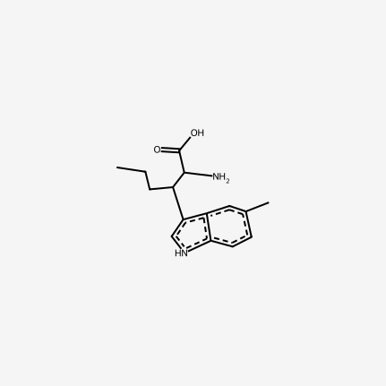 CCCC(c1c[nH]c2ccc(C)cc12)C(N)C(=O)O